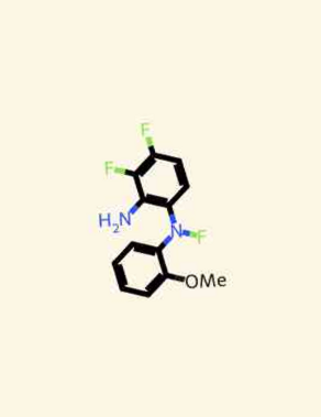 COc1ccccc1N(F)c1ccc(F)c(F)c1N